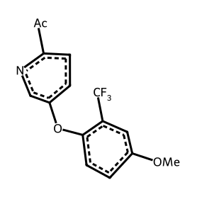 COc1ccc(Oc2ccc(C(C)=O)nc2)c(C(F)(F)F)c1